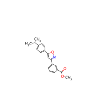 COC(=O)c1cccc(-c2cc(-c3ccc(C(C)C)cc3)on2)c1